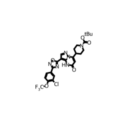 CC(C)(C)OC(=O)N1CCC(c2cc(=O)[nH]c3c(-c4nc(-c5ccc(OC(F)(F)F)c(Cl)c5)no4)cnn23)CC1